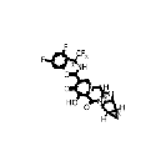 O=C(N[C@@H](c1ccc(F)cc1F)C(F)(F)F)c1cn2c(c(O)c1=O)C(=O)N1C3CC(O[C@@H]1C2)[C@@H]1C[C@H]31